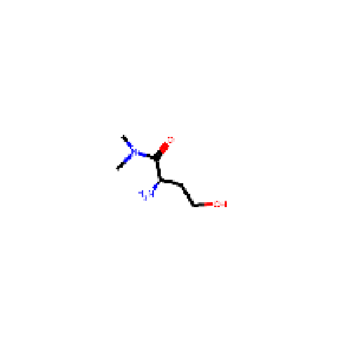 CN(C)C(=O)[C@H](N)CCO